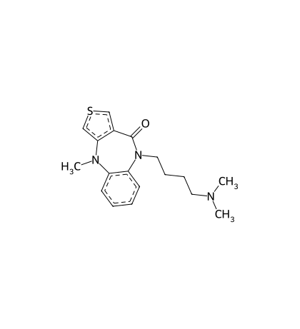 CN(C)CCCCN1C(=O)c2cscc2N(C)c2ccccc21